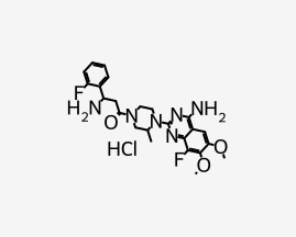 COc1cc2c(N)nc(N3CCN(C(=O)CC(N)c4ccccc4F)CC3C)nc2c(F)c1OC.Cl